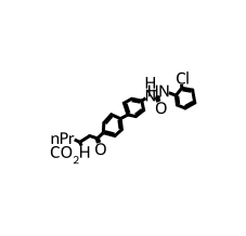 CCCC(CC(=O)c1ccc(-c2ccc(NC(=O)Nc3ccccc3Cl)cc2)cc1)C(=O)O